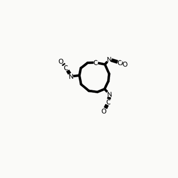 O=C=NC1CCCC(N=C=O)CCC(N=C=O)CCC1